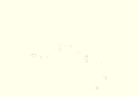 COc1ccc(-c2ccccc2)cc1C(C)(C)CC(O)(Cc1cc2c(C)nccc2[nH]1)C(F)(F)F